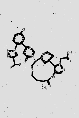 C[C@@H]1CCCC[C@H](n2cnc(-c3cc(Cl)ccc3-n3cc(C(F)F)nn3)cc2=O)c2cc(ccn2)-c2c(cnn2CC(=O)O)NC1=O